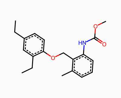 CCc1ccc(OCc2c(C)cccc2NC(=O)OC)c(CC)c1